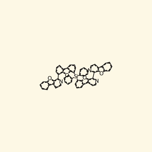 c1ccc([Si](c2ccccc2)(c2cccc3c2oc2c(-c4nccc5c4oc4ccccc45)cccc23)c2cccc3c2oc2c(-c4nccc5c4oc4ccccc45)nccc23)cc1